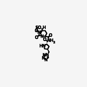 NC(=O)C1(OC[C@@H]2C[C@@H](Cn3cnnn3)CN2)CCC2CN1C(=O)N2OS(=O)(=O)O